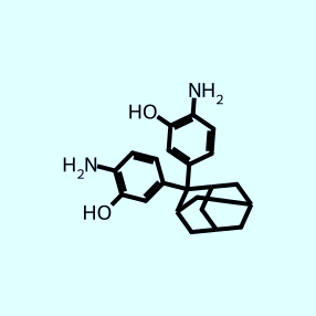 Nc1ccc(C2(c3ccc(N)c(O)c3)C3CC4CC(C3)CC2C4)cc1O